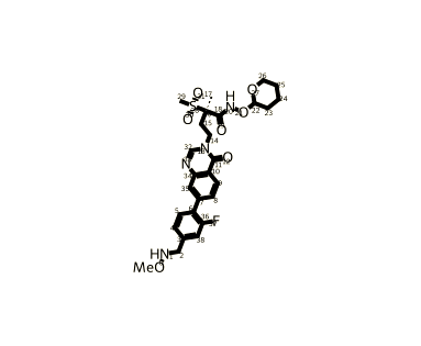 CONCc1ccc(-c2ccc3c(=O)n(CC[C@](C)(C(=O)NOC4CCCCO4)S(C)(=O)=O)cnc3c2)c(F)c1